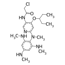 CCC(CC)Oc1cc(N(C)c2c(NC)cc(NC)cc2NC)ncc1NC(=O)CCl